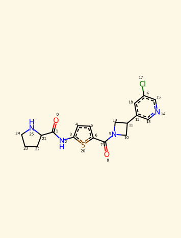 O=C(Nc1ccc(C(=O)N2CC(c3cncc(Cl)c3)C2)s1)C1CCCN1